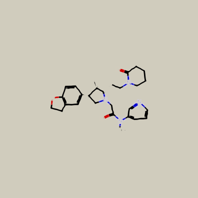 CCCCN(C(=O)CN1C[C@H](c2ccc3c(c2)CCO3)[C@@H](C(=O)O)[C@@H]1CCN1CCCCC1=O)c1cccnc1